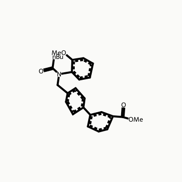 CCCCC(=O)N(Cc1ccc(-c2cccc(C(=O)OC)c2)cc1)c1ccccc1OC